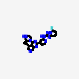 Fc1cccc2nc(Nc3cc(-c4nc(N5CCNCC5)c5c(C6CC6)cncc5n4)ccn3)nn12